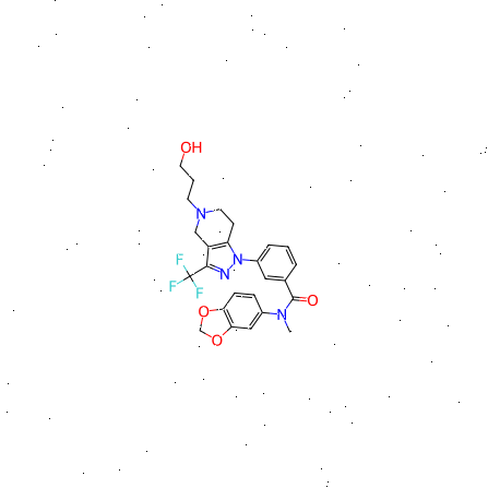 CN(C(=O)c1cccc(-n2nc(C(F)(F)F)c3c2CCN(CCCO)C3)c1)c1ccc2c(c1)OCO2